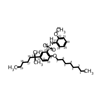 CCCCCCCCOc1ccc(C(C)(C)CCCCC)cc1S(=O)(=O)Nc1c[c]ccc1OC